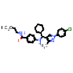 Cc1nn(-c2ccc(Cl)cc2)cc1C(Nc1ccc(C(=O)NCCC(=O)O)cc1)C1CCCCC1